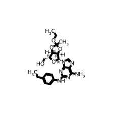 CCOC1(C)O[C@@H]2[C@H](O1)[C@@H](CO)O[C@H]2n1cnc2c(N)nc(Nc3ccc(CC)cc3)nc21